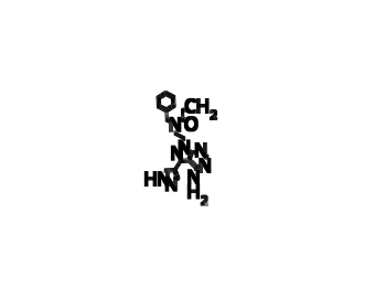 C=CC(=O)N(CCn1nc(-c2cn[nH]c2)c2c(N)ncnc21)Cc1ccccc1